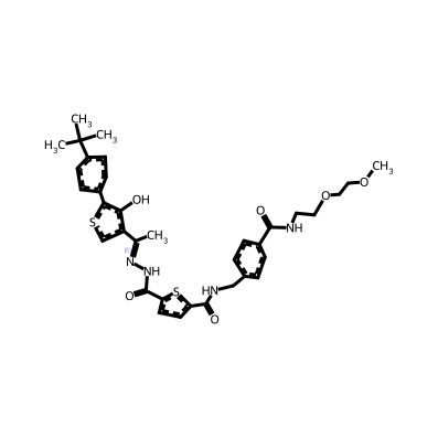 COCCOCCNC(=O)c1ccc(CNC(=O)c2ccc(C(=O)N/N=C(\C)c3csc(-c4ccc(C(C)(C)C)cc4)c3O)s2)cc1